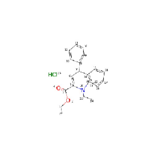 CCOC(=O)/C(=C/C(c1ccccc1)c1ccccc1)N(CC)CC.Cl